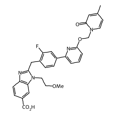 COCCn1c(Cc2ccc(-c3cccc(OCn4ccc(C)cc4=O)n3)cc2F)nc2ccc(C(=O)O)cc21